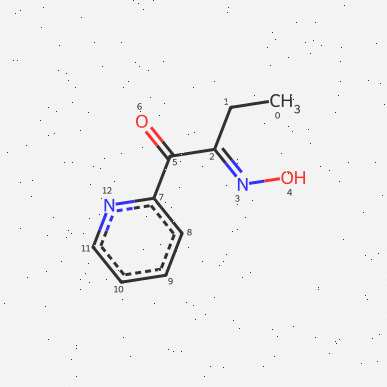 CCC(=NO)C(=O)c1ccccn1